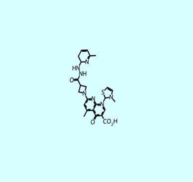 CC1=NC(NNC(=O)C2CN(c3cc(C)c4c(=O)c(C(=O)O)cn(C5SC=CN5C)c4n3)C2)CC=C1